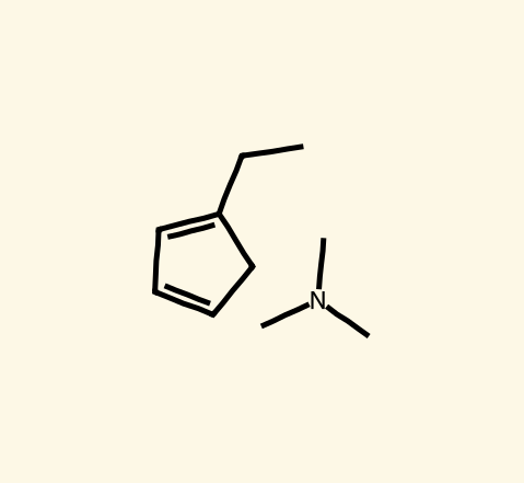 CCC1=CC=CC1.CN(C)C